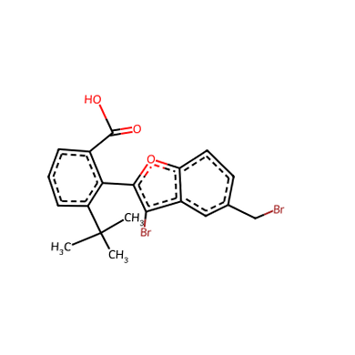 CC(C)(C)c1cccc(C(=O)O)c1-c1oc2ccc(CBr)cc2c1Br